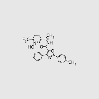 Cc1ccc(-c2nc(-c3ccccc3)c(C(=O)N[C@H](C)c3ccc(C(F)(F)F)[n+](O)c3)o2)cc1